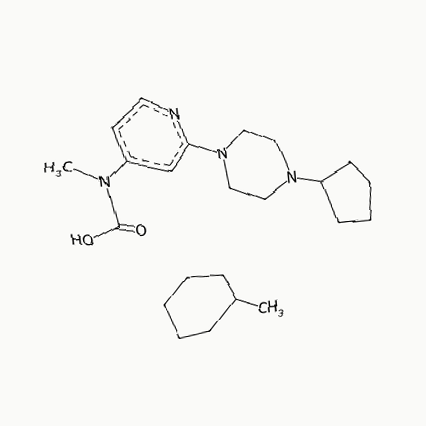 CC1CCCCC1.CN(C(=O)O)c1ccnc(N2CCN(C3CCCC3)CC2)c1